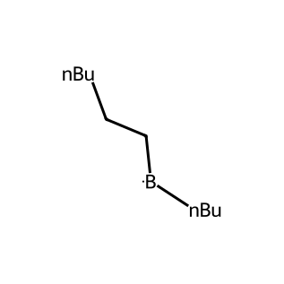 CCCC[B]CCCCCC